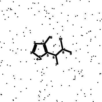 Cc1ccsc1C(C)C(C)C